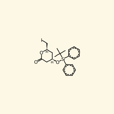 CC(C)(C)[Si](O[C@H]1CC(=O)O[C@@H](CI)C1)(c1ccccc1)c1ccccc1